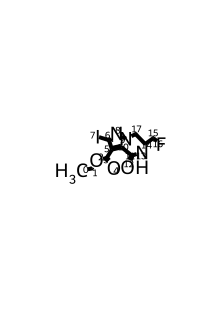 CCOC(=O)c1c(I)nn2c1C(=O)NC(CF)C2